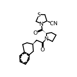 N#C[C@@H]1CSCN1C(=O)[C@@H]1CCCN1C(=O)C[C@@H]1CCc2ccccc2C1